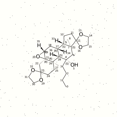 CCCC[C@]1(O)C[C@@]2(C)[C@@H](CCC23OCCO3)[C@H]2C[C@H]3O[C@@]34CC3(CC[C@]4(C)[C@H]21)OCCO3